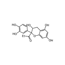 CCC(=O)C1(c2ccc(O)c(O)c2)Oc2cc(O)cc(O)c2CC1O